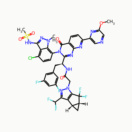 COc1cncc(-c2ccc3c(=O)n(-c4ccc(Cl)c5c(NS(C)(=O)=O)nn(C)c45)c([C@H](Cc4cc(F)cc(F)c4)NC(=O)Cn4nc(C(F)F)c5c4C(F)(F)[C@@H]4C[C@H]54)nc3n2)n1